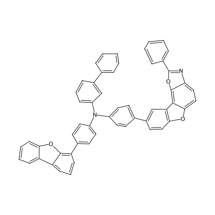 c1ccc(-c2cccc(N(c3ccc(-c4ccc5oc6ccc7nc(-c8ccccc8)oc7c6c5c4)cc3)c3ccc(-c4cccc5c4oc4ccccc45)cc3)c2)cc1